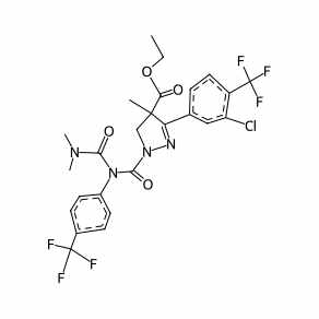 CCOC(=O)C1(C)CN(C(=O)N(C(=O)N(C)C)c2ccc(C(F)(F)F)cc2)N=C1c1ccc(C(F)(F)F)c(Cl)c1